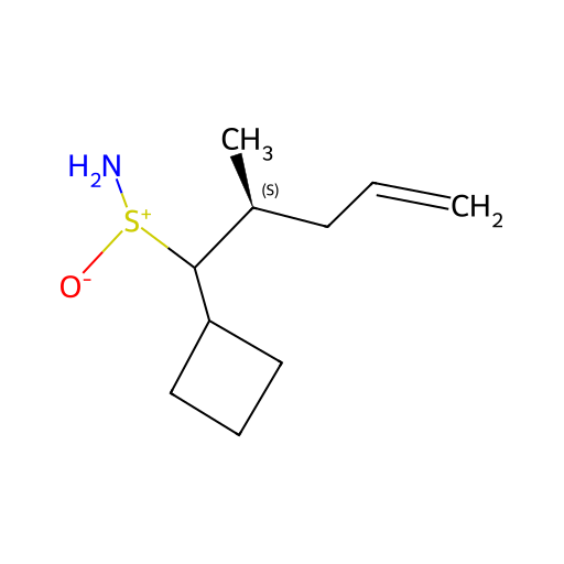 C=CC[C@H](C)C(C1CCC1)[S+](N)[O-]